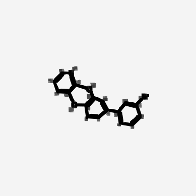 Brc1cccc(-c2ccc3c(c2)Oc2ncccc2O3)c1